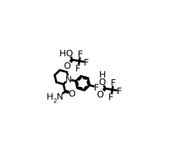 NC(=O)C1CCCCN1c1ccc(F)cc1.O=C(O)C(F)(F)F.O=C(O)C(F)(F)F